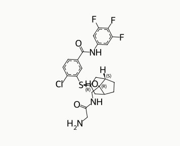 NCC(=O)NC[C@@]1(O)C2CC[C@H]1C[C@H](Sc1cc(C(=O)Nc3cc(F)c(F)c(F)c3)ccc1Cl)C2